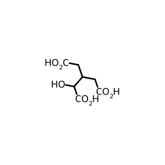 O=C(O)CC(CC(=O)O)C(O)C(=O)O